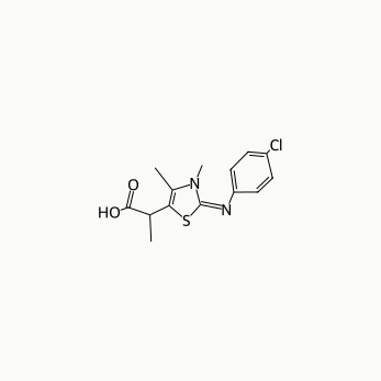 Cc1c(C(C)C(=O)O)sc(=Nc2ccc(Cl)cc2)n1C